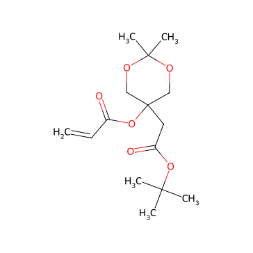 C=CC(=O)OC1(CC(=O)OC(C)(C)C)COC(C)(C)OC1